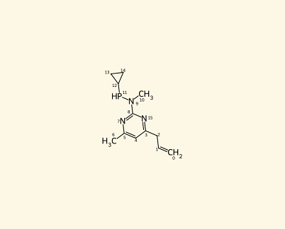 C=CCc1cc(C)nc(N(C)PC2CC2)n1